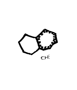 [CH].c1ccc2c(c1)CCCC2